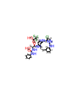 O=C(Nc1ccccc1)N[C@@H](CO)C(=O)Nc1ccc2cc1CCc1cccc(c1)Nc1ncc(Cl)c(n1)N2.O=C(O)C(F)(F)F